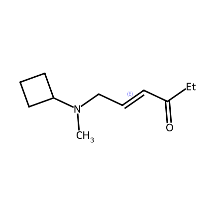 CCC(=O)/C=C/CN(C)C1CCC1